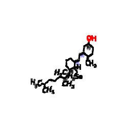 C=C1CC[C@H](O)C/C1=C/C=C1\CCC[C@]2(C)[C@@H]([C@H](C)CCCC(C)C)CC[C@@H]12.[SeH2]